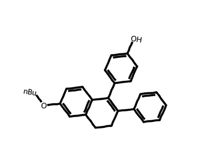 CCCCOc1ccc2c(c1)CCC(c1ccccc1)=C2c1ccc(O)cc1